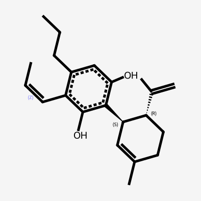 C=C(C)[C@@H]1CCC(C)=C[C@H]1c1c(O)cc(CCC)c(/C=C\C)c1O